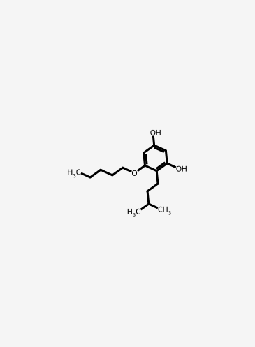 CCCCCOc1cc(O)cc(O)c1CCC(C)C